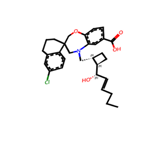 CCCC=C[C@H](O)[C@@H]1CC[C@H]1CN1CC2(CCCc3cc(Cl)ccc32)COc2ccc(C(=O)O)cc21